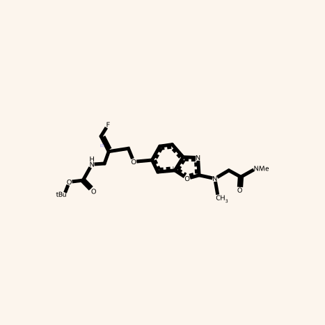 CNC(=O)CN(C)c1nc2ccc(OC/C(=C\F)CNC(=O)OC(C)(C)C)cc2o1